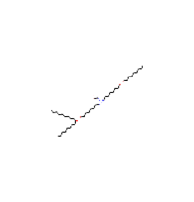 CCCCCCCCCOC(=O)CCCCCCCN(CCO)CCCCCCCC(=O)OC(CCCCCCCC)CCCCCCCCC